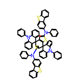 c1ccc(N(c2ccc3sc4ccccc4c3c2)c2cc3c(s2)C2(c4ccccc4N(c4ccccc4)c4ccccc42)c2cc(N(c4ccccc4)c4ccc5sc6ccccc6c5c4)sc2C32c3ccccc3N(c3ccccc3)c3ccccc32)cc1